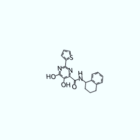 O=C(NC1CCCc2ccccc21)c1nc(-c2cccs2)nc(O)c1O